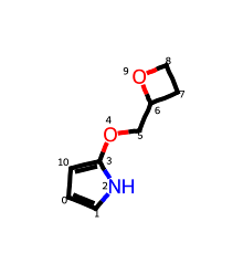 c1c[nH]c(OCC2CCO2)c1